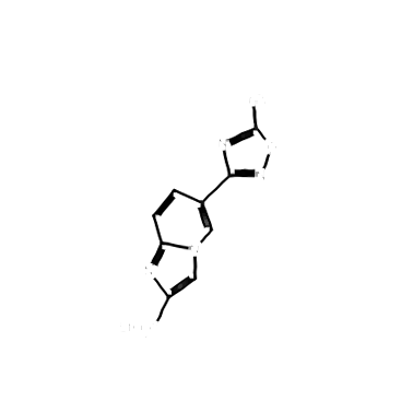 CCCc1nc(-c2ccc3nc(C(=O)OCC)cn3c2)no1